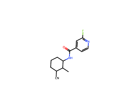 CC1C(C#N)CCCC1NC(=O)c1ccnc(F)c1